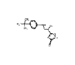 CC(C)(C)c1ccc(NCC(O)c2n[nH]c(=O)o2)cc1